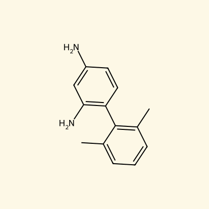 Cc1cccc(C)c1-c1ccc(N)cc1N